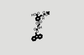 CC(C)(C)OC(=O)NCc1cc(S(=O)(=O)CCNC(=O)OCC2c3ccccc3-c3ccccc32)ccc1C(=O)O